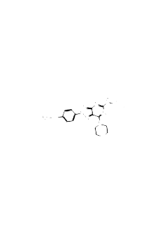 COc1ccc(-n2nc3nc(N(C)C)nc(N4CCOCC4)c3n2)cc1